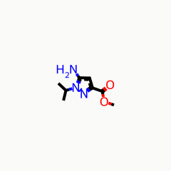 COC(=O)c1cc(N)n(C(C)C)n1